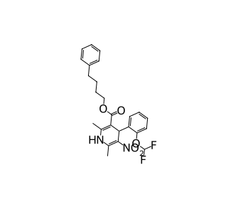 CC1=C(C(=O)OCCCCc2ccccc2)C(c2ccccc2OC(F)F)C([N+](=O)[O-])=C(C)N1